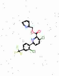 O=C(OCc1ccccn1)c1nc(-c2ccc(C(F)(F)F)cc2Cl)ccc1Cl